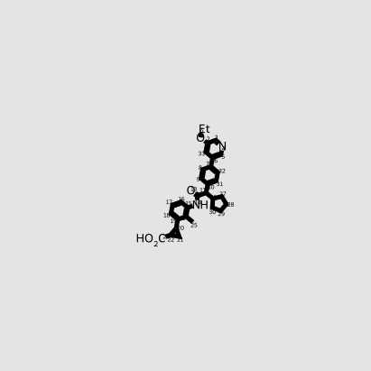 CCOc1cncc(-c2ccc(C(C(=O)Nc3cccc(C4CC4C(=O)O)c3C)C3CCCC3)cc2)c1